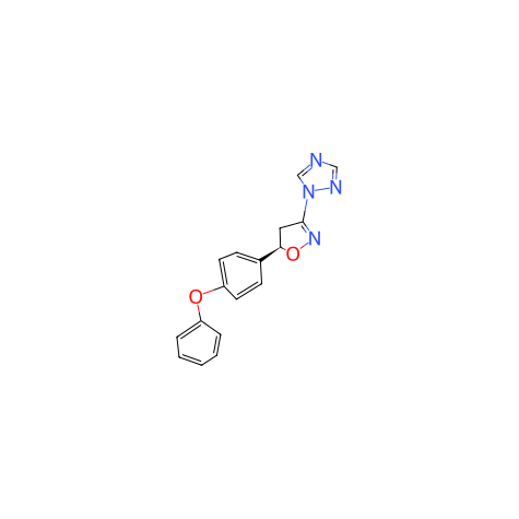 c1ccc(Oc2ccc([C@H]3CC(n4cncn4)=NO3)cc2)cc1